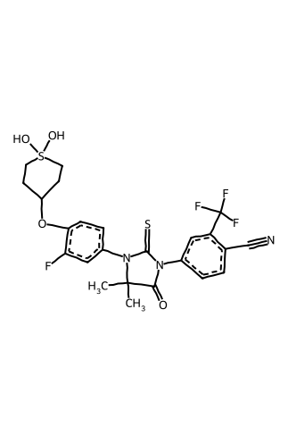 CC1(C)C(=O)N(c2ccc(C#N)c(C(F)(F)F)c2)C(=S)N1c1ccc(OC2CCS(O)(O)CC2)c(F)c1